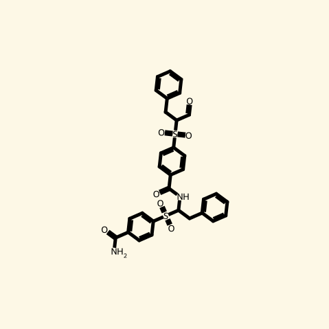 NC(=O)c1ccc(S(=O)(=O)C(Cc2ccccc2)NC(=O)c2ccc(S(=O)(=O)C(C=O)Cc3ccccc3)cc2)cc1